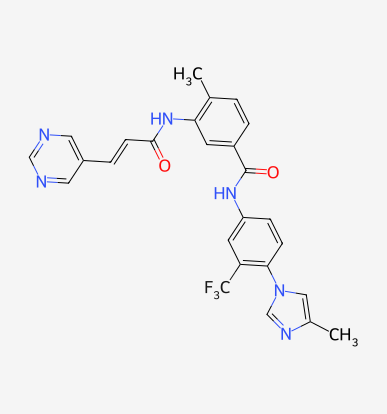 Cc1cn(-c2ccc(NC(=O)c3ccc(C)c(NC(=O)C=Cc4cncnc4)c3)cc2C(F)(F)F)cn1